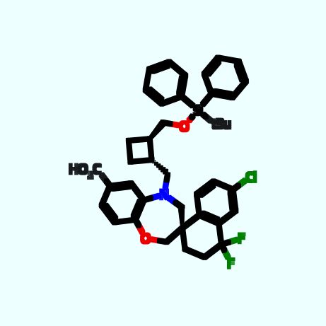 CC(C)(C)[Si](OC[C@@H]1CC[C@H]1CN1C[C@@]2(CCC(F)(F)c3cc(Cl)ccc32)COc2ccc(C(=O)O)cc21)(c1ccccc1)c1ccccc1